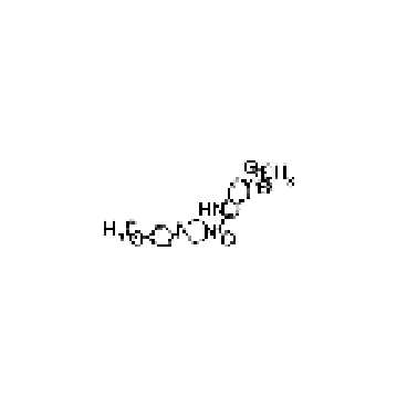 COc1ccc(N2CCN(C(=O)c3cc4cc(S(C)(=O)=O)ccc4[nH]3)CC2)cc1